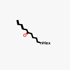 C=CC=CCC(=O)CCCCCCCCCC